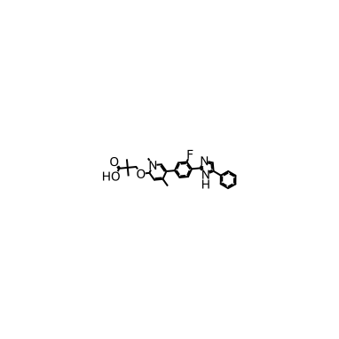 CC1=CC(OCC(C)(C)C(=O)O)N(C)C=C1c1ccc(-c2ncc(-c3ccccc3)[nH]2)c(F)c1